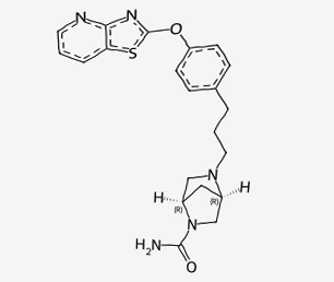 NC(=O)N1C[C@H]2C[C@@H]1CN2CCCc1ccc(Oc2nc3ncccc3s2)cc1